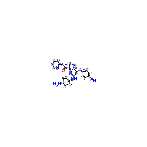 N#Cc1ccc(Nc2cc(N[C@H]3CC[C@H](N)CC3)nn3c(C(=O)Nc4ccncn4)cnc23)cc1